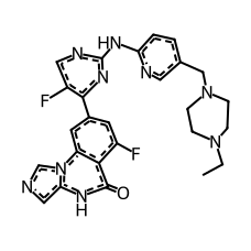 CCN1CCN(Cc2ccc(Nc3ncc(F)c(-c4cc(F)c5c(=O)[nH]c6cncn6c5c4)n3)nc2)CC1